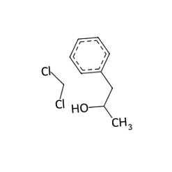 CC(O)Cc1ccccc1.ClCCl